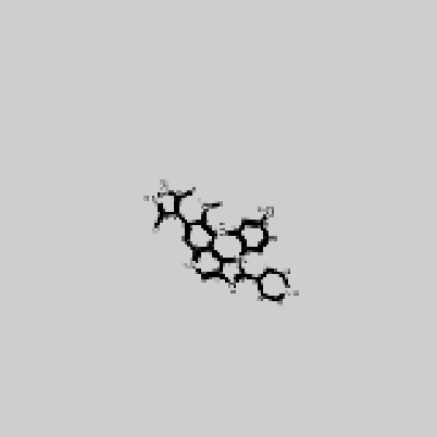 COc1cc2c(cc1-c1c(C)noc1C)ncc1nc(C3CCOCC3)n(-c3ccc(Cl)cc3O)c12